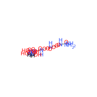 NC(=O)[C@@H](N)CCCCNCOCOCCOCCNC(=O)COCCOCCNC(=O)CCCCONCCC1(N(CC(=O)O)CC(=O)O)CN(CC(=O)O)[C@@H]2CCCC[C@H]2N(CC(=O)O)C1